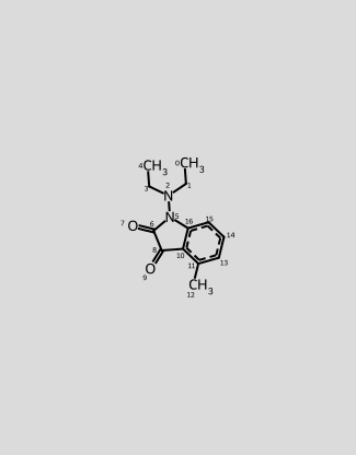 CCN(CC)N1C(=O)C(=O)c2c(C)cccc21